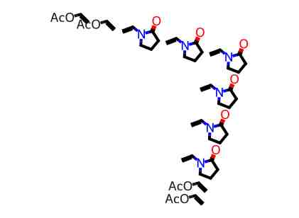 C=CN1CCCC1=O.C=CN1CCCC1=O.C=CN1CCCC1=O.C=CN1CCCC1=O.C=CN1CCCC1=O.C=CN1CCCC1=O.C=COC(C)=O.C=COC(C)=O.C=COC(C)=O.C=COC(C)=O